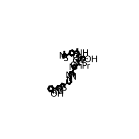 Cc1ncsc1-c1ccc(C(C)NC(=O)[C@@H]2C[C@@H](O)CN2C(=O)C(c2cc(-c3cnc(N4CC[C@@H](c5cc6cc(-c7ccccc7O)nnc6s5)C4)nc3)no2)C(C)C)cc1